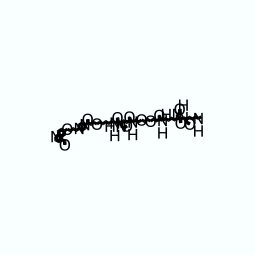 CNCCCC(C=O)NC(=O)C(CCCCNC(=O)CCOCCOCCNC(=O)CCC(NC(C)=O)C(=O)NCCCCCOCCC(=O)N1CCN(CCCOc2ccc3nccc(C=O)c3c2)CC1)NC=O